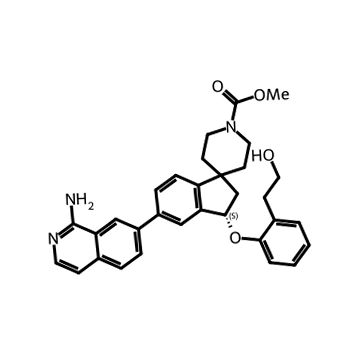 COC(=O)N1CCC2(CC1)C[C@H](Oc1ccccc1CCO)c1cc(-c3ccc4ccnc(N)c4c3)ccc12